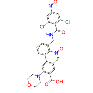 O=Nc1cc(Cl)c(C(=O)NCc2cccc(-c3cc(N4CCOCC4)c(C(=O)O)cc3F)c2N=O)c(Cl)c1